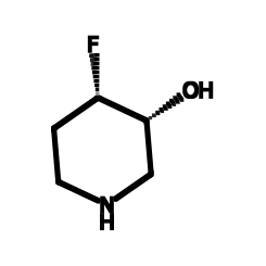 O[C@@H]1CNCC[C@@H]1F